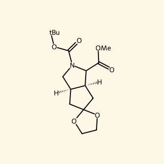 COC(=O)C1[C@H]2CC3(C[C@H]2CN1C(=O)OC(C)(C)C)OCCO3